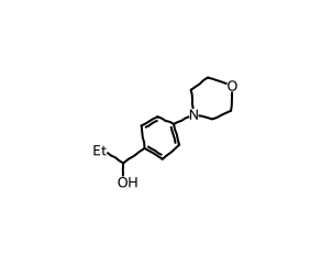 CCC(O)c1ccc(N2CCOCC2)cc1